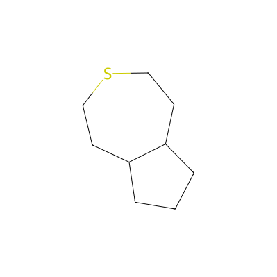 C1CC2CCSCCC2C1